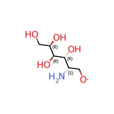 N[C@@H](C[O])[C@@H](O)[C@@H](O)[C@H](O)CO